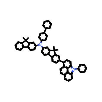 CC1(C)c2ccccc2-c2ccc(N(c3ccc(-c4ccccc4)cc3)c3ccc4c(c3)C(C)(C)c3cc(-c5ccc6c7c5ccc5cccc(c57)n6-c5ccccc5)ccc3-4)cc21